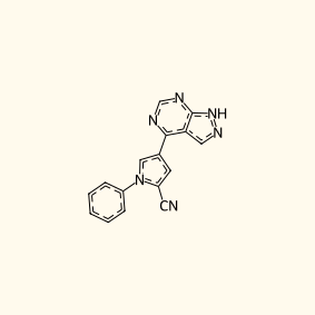 N#Cc1cc(-c2ncnc3[nH]ncc23)cn1-c1ccccc1